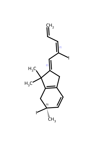 C=C/C=C(I)\C=C1/CC2=C(C[C@](C)(I)C=C2)C1(C)C